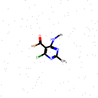 Cc1nc(Cl)c(C(=O)S)c(NC(C)C)n1